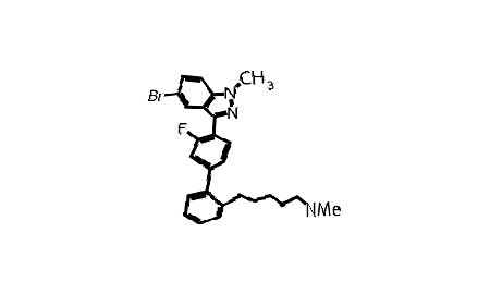 CNCCCCCc1ccccc1-c1ccc(-c2nn(C)c3ccc(Br)cc23)c(F)c1